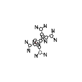 N#CC1=CC(c2ccc3c(c2)c2cc(-c4cc(C#N)cc(C#N)c4)ccc2n3-c2cc(C#N)c(-n3c4ccc(-c5cc(C#N)cc(C#N)c5)cc4c4cc(-c5cc(C#N)cc(C#N)c5)ccc43)cc2-c2cccnc2)CC(C#N)=C1